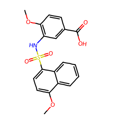 COc1ccc(C(=O)O)cc1NS(=O)(=O)c1ccc(OC)c2ccccc12